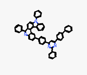 c1ccc(-c2ccc(-c3cc(-c4ccc(-c5ccc6nc(-c7ccccc7)c7ccc8c(c9ccccc9n8-c8ccccc8)c7c6c5)cc4)nc(-c4ccccc4)n3)cc2)cc1